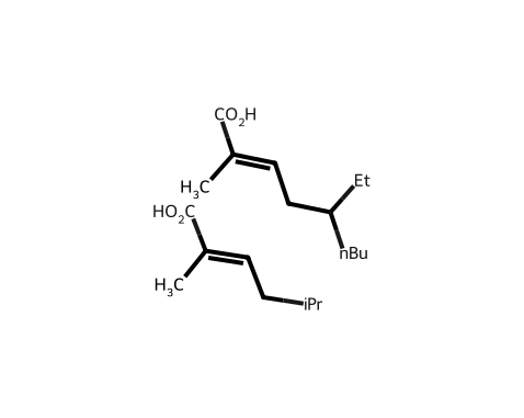 CC(=CCC(C)C)C(=O)O.CCCCC(CC)CC=C(C)C(=O)O